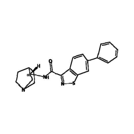 O=C(N[C@@H]1CN2CCC1CC2)c1nsc2cc(-c3ccccc3)ccc12